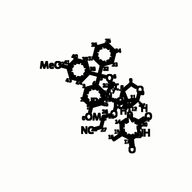 COc1ccc(C(OC[C@@]23CO[C@@H]([C@H](n4cc(C)c(=O)[nH]c4=O)O2)[C@@H]3P(OCCC#N)N(C(C)C)C(C)C)(c2ccccc2)c2ccc(OC)cc2)cc1